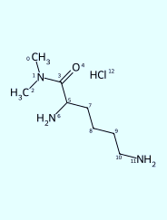 CN(C)C(=O)C(N)CCCCN.Cl